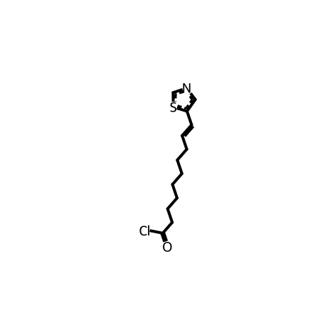 O=C(Cl)CCCCCCCC=Cc1cncs1